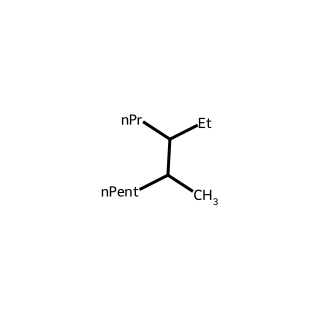 [CH2]CCCCC(C)C(CC)CC[CH2]